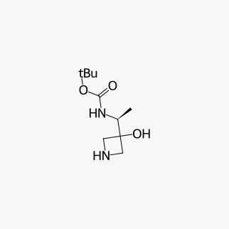 C[C@H](NC(=O)OC(C)(C)C)C1(O)CNC1